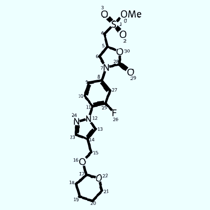 COS(=O)(=O)CC1CN(c2ccc(-n3cc(COC4CCCCO4)cn3)c(F)c2)C(=O)O1